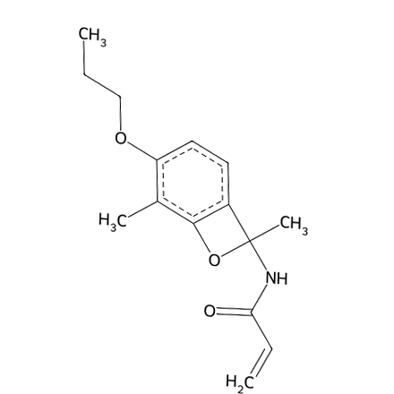 C=CC(=O)NC1(C)Oc2c1ccc(OCCC)c2C